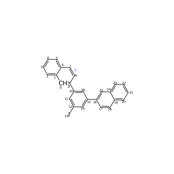 Cc1ccccc1/C=C\Cc1cc(I)cc(-c2ccc3ccccc3c2)c1